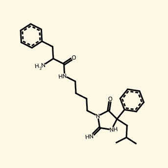 CC(C)CC1(c2ccccc2)NC(=N)N(CCCCNC(=O)C(N)Cc2ccccc2)C1=O